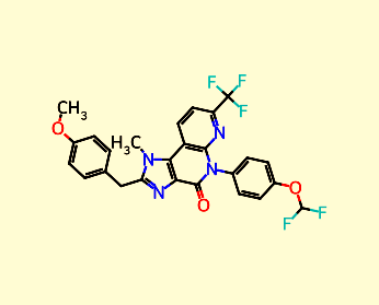 COc1ccc(Cc2nc3c(=O)n(-c4ccc(OC(F)F)cc4)c4nc(C(F)(F)F)ccc4c3n2C)cc1